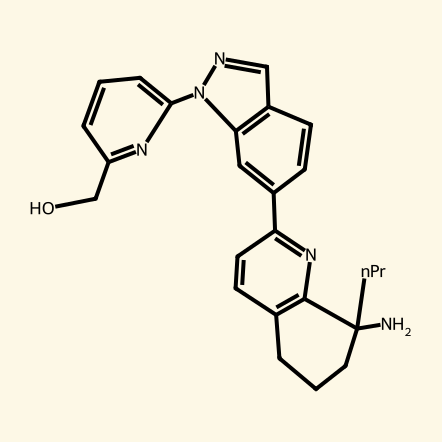 CCCC1(N)CCCc2ccc(-c3ccc4cnn(-c5cccc(CO)n5)c4c3)nc21